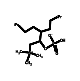 CC(C)CCC(CCC(C)C)C(C[N+](C)(C)C)OP(=O)([O-])O